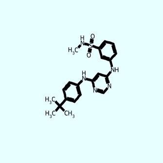 CNS(=O)(=O)c1cccc(Nc2cc(Nc3ccc(C(C)(C)C)cc3)ncn2)c1